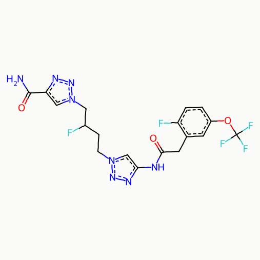 NC(=O)c1cn(CC(F)CCn2cc(NC(=O)Cc3cc(OC(F)(F)F)ccc3F)nn2)nn1